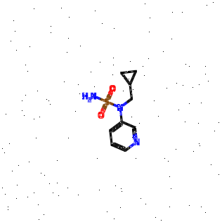 NS(=O)(=O)N(CC1CC1)c1cccnc1